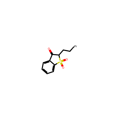 CC(C)CCC1C(=O)c2ccccc2S1(=O)=O